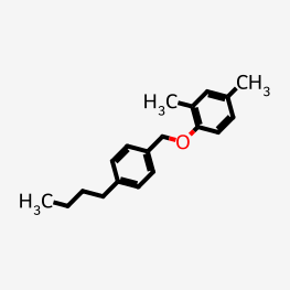 CCCCc1ccc(COc2ccc(C)cc2C)cc1